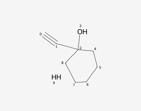 C#CC1(O)CCCCC1.[HH]